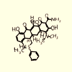 CNc1ccc(O)c2c1[C@H](CSc1ccccc1)[C@H]1C[C@H]3[C@H](N(C)C)C(O)=C(C(N)=O)C(=O)[C@@]3(O)C(O)=C1C2=O